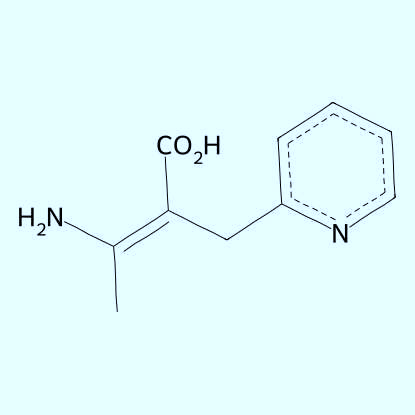 C/C(N)=C(\Cc1ccccn1)C(=O)O